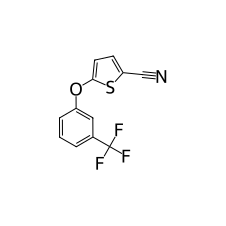 N#Cc1ccc(Oc2cccc(C(F)(F)F)c2)s1